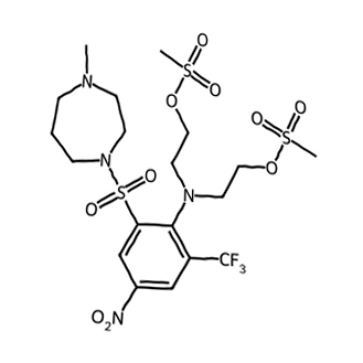 CN1CCCN(S(=O)(=O)c2cc([N+](=O)[O-])cc(C(F)(F)F)c2N(CCOS(C)(=O)=O)CCOS(C)(=O)=O)CC1